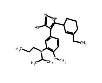 CCCN(c1cc(-c2c(S)n[nH]c2C2C=C(CC)CCC2)ccc1OC)C(C)C